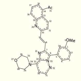 COc1cccc(-c2c(/C=C/c3ccc4c(C(C)=O)cccc4n3)nc3c(N4CCOCC4)ccnn23)c1